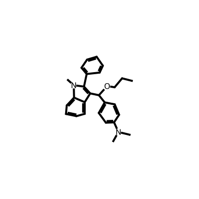 CCCOC(c1ccc(N(C)C)cc1)c1c(-c2ccccc2)n(C)c2ccccc12